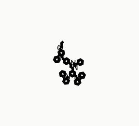 CCCOc1ccc2c(c1)c1ccccc1n2-c1ccc(-c2cc(-c3cc(-n4c5ccccc5c5ccccc54)cc(-n4c5ccccc5c5ccccc54)c3)nc(-c3ccccc3)n2)cc1